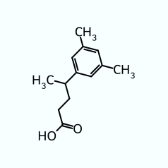 Cc1cc(C)cc(C(C)CCC(=O)O)c1